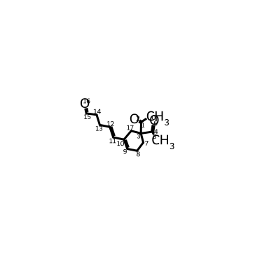 CC(=O)C1(C(C)=O)CCC=C(C=CCCC=O)C1